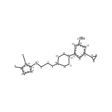 Cc1nnc(SCCCN2CCN(c3cc(C4CC4)nc(C(C)(C)C)n3)CC2)n1C